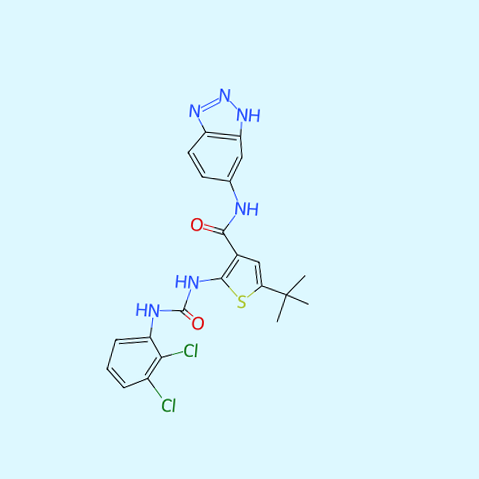 CC(C)(C)c1cc(C(=O)Nc2ccc3nn[nH]c3c2)c(NC(=O)Nc2cccc(Cl)c2Cl)s1